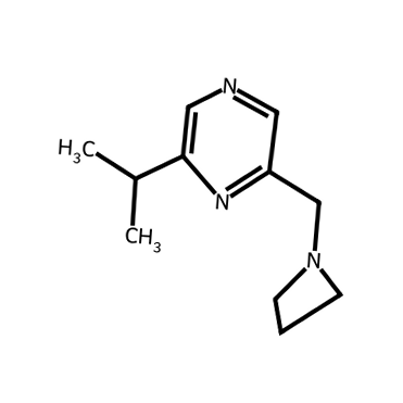 CC(C)c1cncc(CN2CCC2)n1